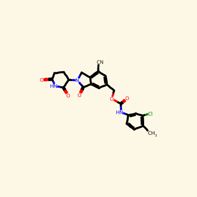 Cc1ccc(NC(=O)OCc2cc(C#N)c3c(c2)C(=O)N(C2CCC(=O)NC2=O)C3)cc1Cl